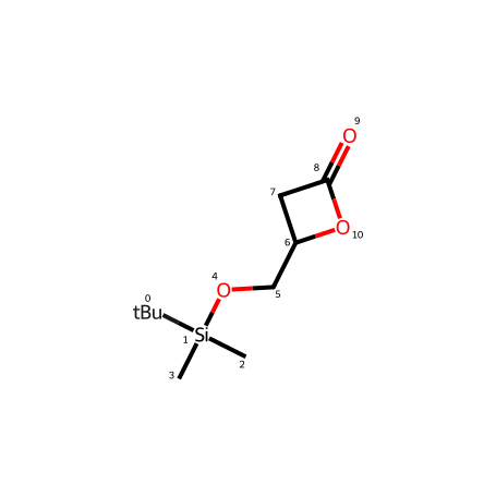 CC(C)(C)[Si](C)(C)OCC1CC(=O)O1